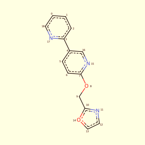 c1ccc(-c2ccc(OCc3ncco3)nc2)nc1